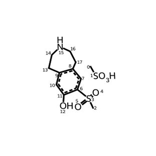 CS(=O)(=O)O.CS(=O)(=O)c1cc2c(cc1O)CCNCC2